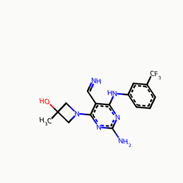 CC1(O)CN(c2nc(N)nc(Nc3cccc(C(F)(F)F)c3)c2C=N)C1